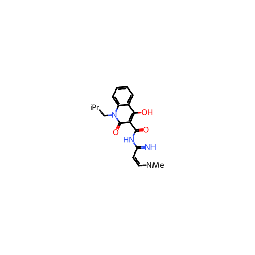 CN/C=C\C(=N)NC(=O)c1c(O)c2ccccc2n(CC(C)C)c1=O